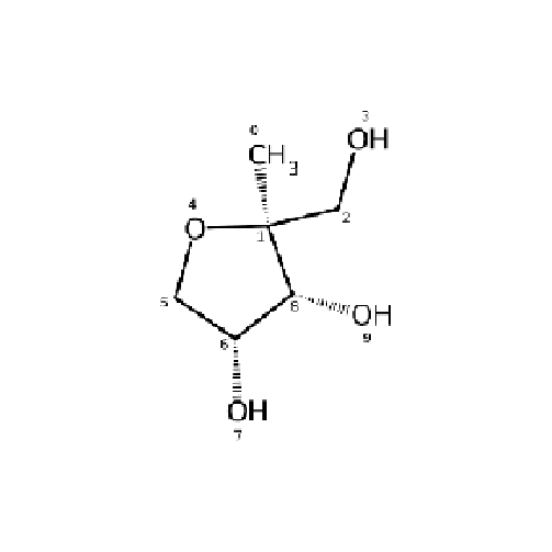 C[C@@]1(CO)OC[C@@H](O)[C@H]1O